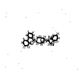 O=C(c1ccccc1-c1ccccc1)N1CC2CN(c3cnc4ccccc4n3)CC(C1)O2